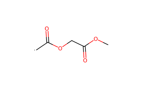 [CH2]C(=O)OCC(=O)OC